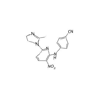 CC1=NCCN1c1ccc([N+](=O)[O-])c(Nc2ccc(C#N)cc2)n1